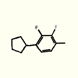 Cc1ccc(C2CCCC2)c(F)c1F